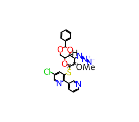 CO[C@H]1C(N=[N+]=[N-])[C@H]2OC(c3ccccc3)OCC2O[C@@H]1Sc1cc(Cl)cnc1-c1cccnc1